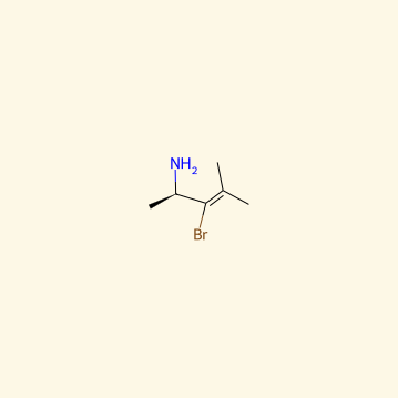 CC(C)=C(Br)[C@@H](C)N